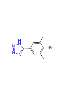 Cc1cc(-c2nnn[nH]2)cc(C)c1Br